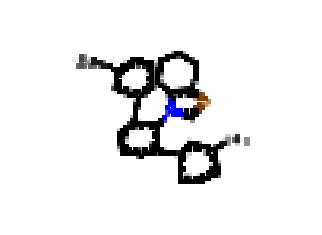 CC(C)(C)c1cccc(-c2cccc(-c3cccc(C(C)(C)C)c3)c2-[n+]2csc3c2CCCC3)c1